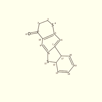 O=C1CCSc2cc3c(cc21)SC1C=CC=CC31